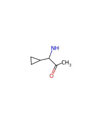 CC(=O)C([NH])C1CC1